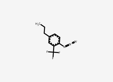 CCCc1ccc(N=[N+]=[N-])c(C(F)(F)F)c1